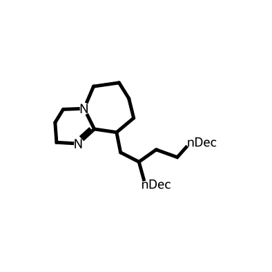 CCCCCCCCCCCCC(CCCCCCCCCC)CC1CCCCN2CCCN=C12